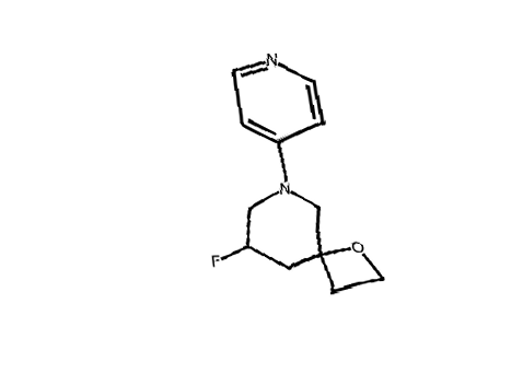 FC1CN(c2ccncc2)CC2(CCO2)C1